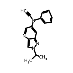 C#CN(c1ccccc1)c1cnc2cn(C(C)C)nc2c1